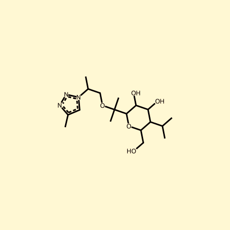 Cc1cn(C(C)COC(C)(C)C2OC(CO)C(C(C)C)C(O)C2O)nn1